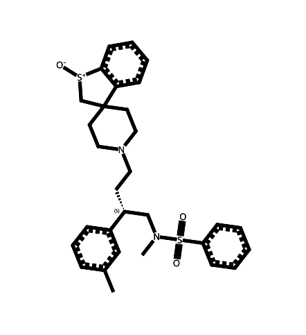 Cc1cccc([C@H](CCN2CCC3(CC2)C[S+]([O-])c2ccccc23)CN(C)S(=O)(=O)c2ccccc2)c1